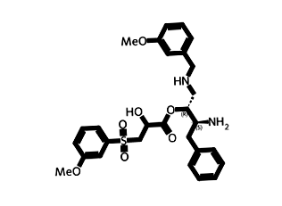 COc1cccc(CNC[C@@H](OC(=O)C(O)CS(=O)(=O)c2cccc(OC)c2)[C@@H](N)Cc2ccccc2)c1